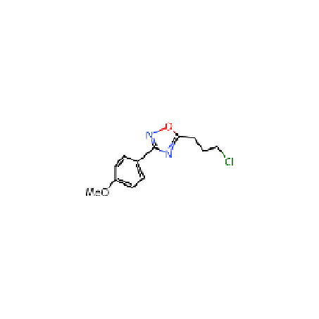 COc1ccc(-c2noc(CCCCl)n2)cc1